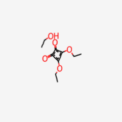 CCO.CCOc1c(OCC)c(=O)c1=O